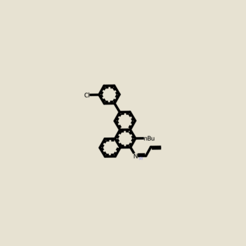 C=C/C=N\c1c(CCCC)c2ccc(-c3cccc(Cl)c3)cc2c2ccccc12